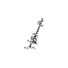 COC1C(OC(=O)NCCCCCCNC(=O)CNOF)CC[C@]2(CO2)C1C(C)(C)OCC=C(C)C